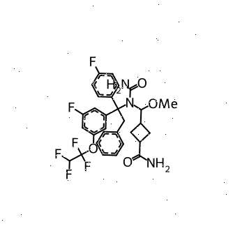 COC(C1CC(C(N)=O)C1)N(C(N)=O)C(Cc1ccccc1)(c1ccc(F)cc1)c1cc(F)cc(OC(F)(F)C(F)F)c1